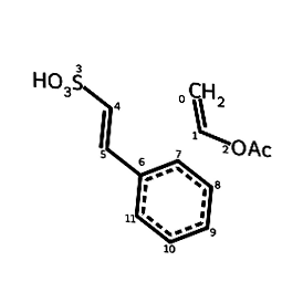 C=COC(C)=O.O=S(=O)(O)C=Cc1ccccc1